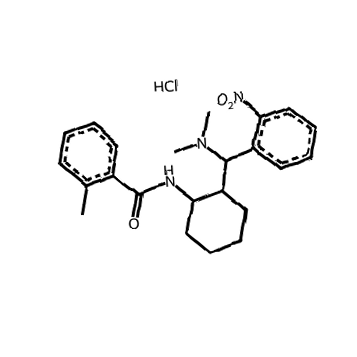 Cc1ccccc1C(=O)NC1CCCCC1C(c1ccccc1[N+](=O)[O-])N(C)C.Cl